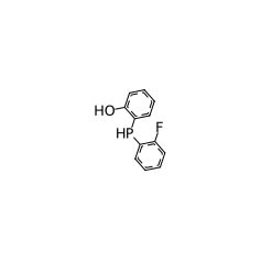 Oc1ccccc1Pc1ccccc1F